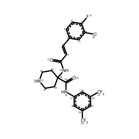 O=C(C=Cc1ccc(F)c(Cl)c1)NC1(C(=O)Nc2cc(C(F)(F)F)cc(C(F)(F)F)c2)CCNCC1